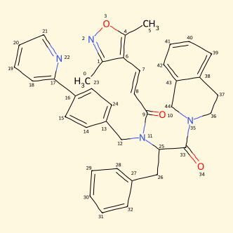 Cc1noc(C)c1C=CC(=O)N(Cc1ccc(-c2ccccn2)cc1)C(Cc1ccccc1)C(=O)N1CCc2ccccc2C1